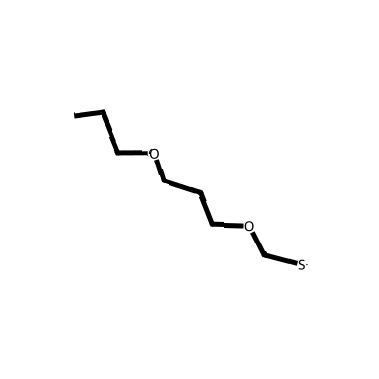 CCCOCCCOC[S]